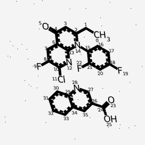 CCc1cc(=O)c2cc(F)c(Cl)nc2n1-c1ccc(F)cc1F.O=C(O)c1cnc2ccccc2c1